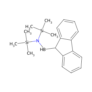 C[Si](C)(C)N(BC1c2ccccc2-c2ccccc21)[Si](C)(C)C